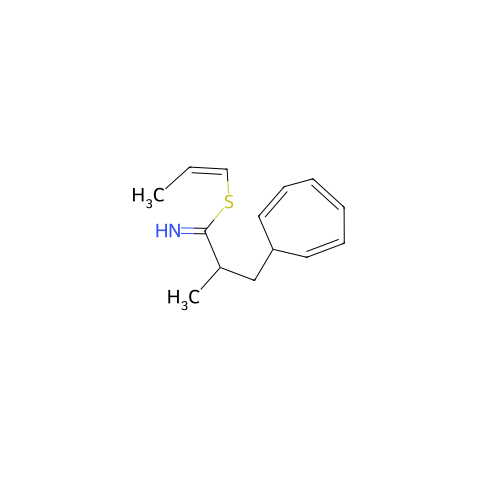 C/C=C\SC(=N)C(C)CC1C=CC=CC=C1